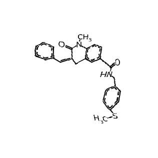 CSc1ccc(CNC(=O)c2ccc3c(c2)CC(=Cc2ccccc2)C(=O)N3C)cc1